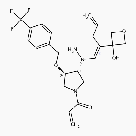 C=CC/C(=C\N(N)[C@@H]1CN(C(=O)C=C)C[C@H]1OCc1ccc(C(F)(F)F)cc1)C1(O)COC1